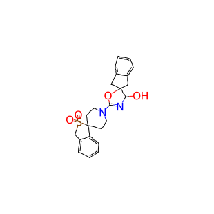 O=S1(=O)Cc2ccccc2C12CCN(C1=NC(O)C3(Cc4ccccc4C3)O1)CC2